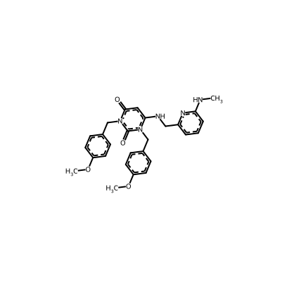 CNc1cccc(CNc2cc(=O)n(Cc3ccc(OC)cc3)c(=O)n2Cc2ccc(OC)cc2)n1